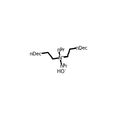 CCCCCCCCCCCC[N+](CCC)(CCC)CCCCCCCCCCCC.[OH-]